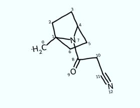 [CH2]C12CCC(CC1)N2C(=O)CC#N